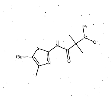 Cc1nc(NC(=O)C(C)(C)[S+]([O-])C(C)C)sc1C(C)(C)C